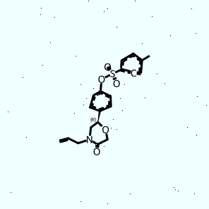 C=CCN1C[C@@H](c2ccc(OS(=O)(=O)c3ccc(C)cc3)cc2)OCC1=O